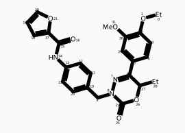 CCOc1ccc(C2=NN(Cc3ccc(NC(=O)c4ccco4)cc3)C(=O)OC2CC)cc1OC